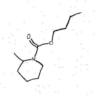 CCCCOC(=O)N1CCCCC1C